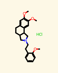 COc1ccccc1CCN1CC2CCc3cc(OC)c(OC)cc3C2C1.Cl